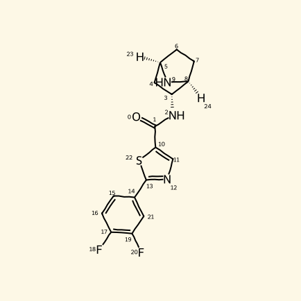 O=C(N[C@@H]1C[C@H]2CC[C@@H]1N2)c1cnc(-c2ccc(F)c(F)c2)s1